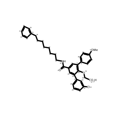 COc1ccc(-c2cc(C(=O)NCCCCCCCCc3ccccc3)cc(-c3cccc(Cl)c3)c2OCC(=O)O)cc1